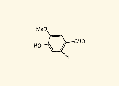 COc1cc(C=O)c(I)cc1O